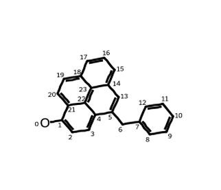 [O]c1ccc2c(Cc3ccccc3)cc3cccc4ccc1c2c43